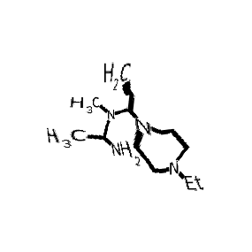 C=CC(N1CCN(CC)CC1)N(C)C(C)N